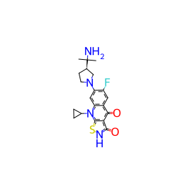 CC(C)(N)[C@@H]1CCN(c2cc3c(cc2F)c(=O)c2c(=O)[nH]sc2n3C2CC2)C1